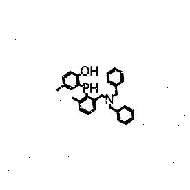 Cc1ccc(O)c(Pc2c(C)cccc2CN(Cc2ccccc2)Cc2ccccc2)c1